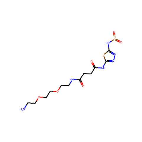 NCCOCCOCCNC(=O)CCC(=O)Nc1nnc(N[SH](=O)=O)s1